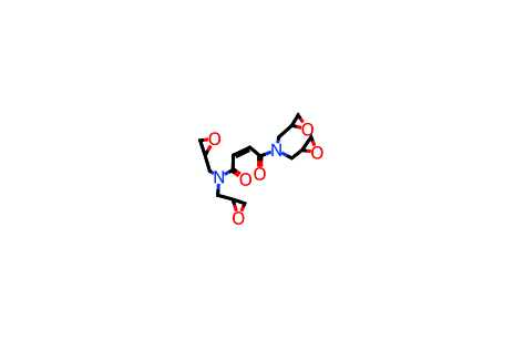 O=C(/C=C\C(=O)N(CC1CO1)CC1CO1)N(CC1CO1)CC1CO1